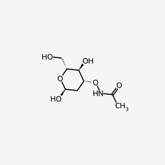 CC(=O)NO[C@@H]1C[C@@H](O)O[C@H](CO)[C@H]1O